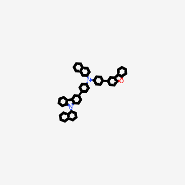 c1ccc2cc(N(c3ccc(-c4ccc5oc6ccccc6c5c4)cc3)c3ccc(-c4ccc5c(c4)c4ccccc4n5-c4cccc5ccccc45)cc3)ccc2c1